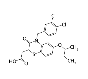 CCC(C)Oc1ccc2c(c1)N(Cc1ccc(Cl)c(Cl)c1)C(=O)C(CC(=O)O)S2